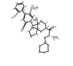 C[C@H](CC1CCCCC1)C(=O)N1CCC(O)(Cn2cc(C(=O)O)c(-c3ccccc3F)cc2=O)C2(CCCC2)C1